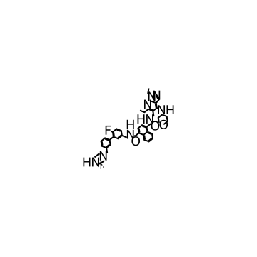 CCc1nc2c(cnn2CC)c(NC2CCOCC2)c1CNC(=O)c1ccc(C(=O)NCc2ccc(F)c(-c3cccc(CN4CCN[C@@H](C)C4)c3)c2)c2ccccc12